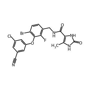 Cc1[nH]c(=O)[nH]c1C(=O)NCc1ccc(Br)c(Oc2cc(Cl)cc(C#N)c2)c1F